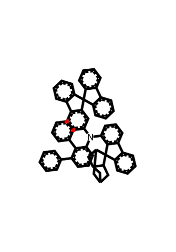 c1ccc(-c2cccc(N(c3ccc4c(c3)C3(c5ccccc5-c5ccccc53)c3ccccc3-4)c3cccc4c3C3(c5ccccc5-4)C4CC5CC(C4)C3C5)c2-c2ccccc2)cc1